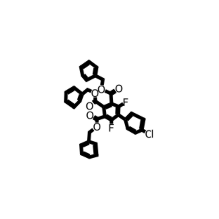 O=C(OCc1ccccc1)c1c(F)c(-c2ccc(Cl)cc2)c(F)c(C(=O)OCc2ccccc2)c1C(=O)OCc1ccccc1